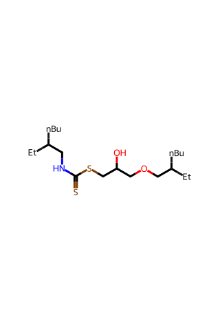 CCCCC(CC)CNC(=S)SCC(O)COCC(CC)CCCC